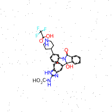 O=C(O)C(F)(F)F.O=C(O)Nc1nc2cc(C3(O)c4ccccc4C(=O)N3c3cccc(C4CCNCC4)c3)ccc2[nH]1